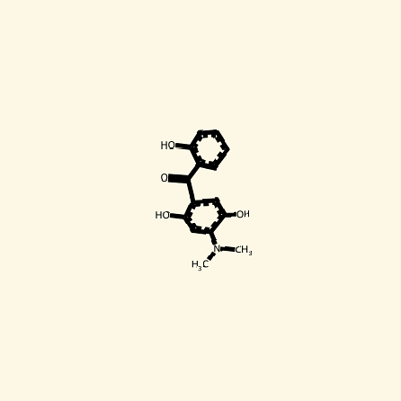 CN(C)c1cc(O)c(C(=O)c2ccccc2O)cc1O